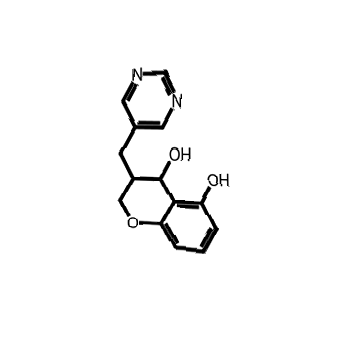 Oc1cccc2c1C(O)C(Cc1cncnc1)CO2